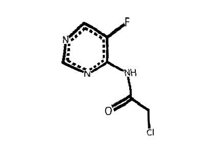 O=C(CCl)Nc1ncncc1F